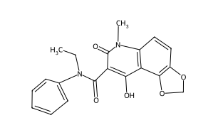 CCN(C(=O)c1c(O)c2c3c(ccc2n(C)c1=O)OCO3)c1ccccc1